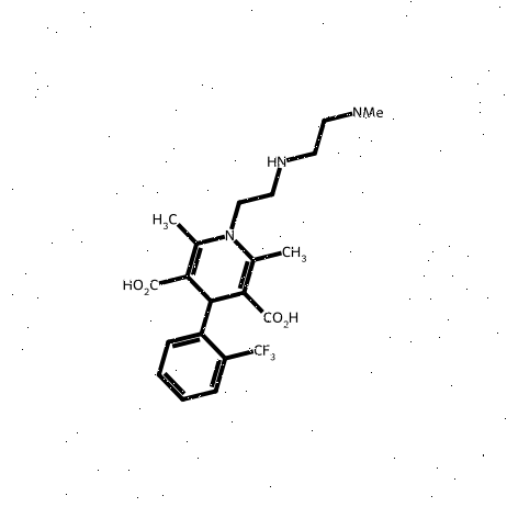 CNCCNCCN1C(C)=C(C(=O)O)C(c2ccccc2C(F)(F)F)C(C(=O)O)=C1C